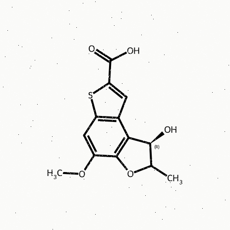 COc1cc2sc(C(=O)O)cc2c2c1OC(C)[C@@H]2O